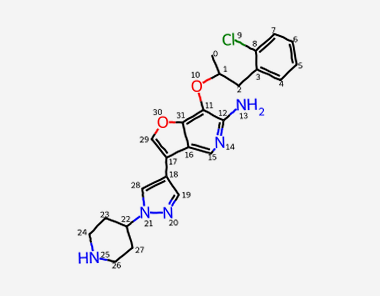 CC(Cc1ccccc1Cl)Oc1c(N)ncc2c(-c3cnn(C4CCNCC4)c3)coc12